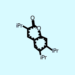 CC(C)c1cc2cc(C(C)C)c(=O)oc2cc1C(C)C